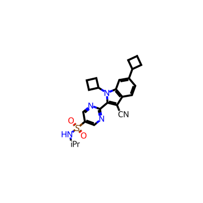 CC(C)NS(=O)(=O)c1cnc(-c2c(C#N)c3ccc(C4CCC4)cc3n2C2CCC2)nc1